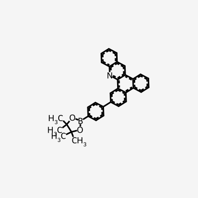 CC1(C)OB(c2ccc(-c3ccc4c5ccccc5c5cc6ccccc6nc5c4c3)cc2)OC1(C)C